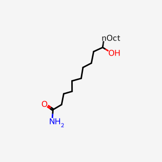 CCCCCCCCC(O)CCCCCCCCC(N)=O